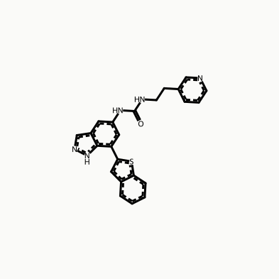 O=C(NCCc1cccnc1)Nc1cc(-c2cc3ccccc3s2)c2[nH]ncc2c1